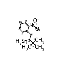 CC(C)(C)C([SiH3])Cc1ccccc1[N+](=O)[O-]